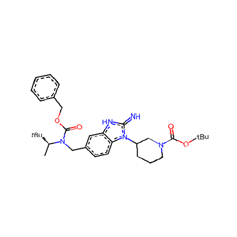 C[C@H](N(Cc1ccc2c(c1)[nH]c(=N)n2C1CCCN(C(=O)OC(C)(C)C)C1)C(=O)OCc1ccccc1)C(C)(C)C